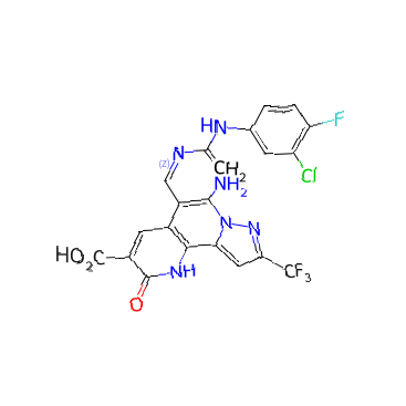 C=C(/N=C\c1c(N)n2nc(C(F)(F)F)cc2c2[nH]c(=O)c(C(=O)O)cc12)Nc1ccc(F)c(Cl)c1